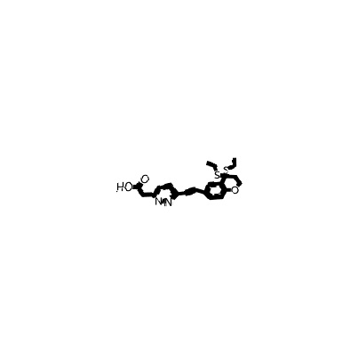 CCSC1(SCC)CCOc2ccc(C#Cc3ccc(CC(=O)O)nn3)cc21